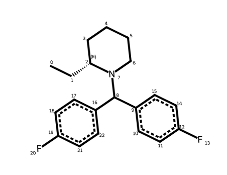 CC[C@@H]1CCCCN1C(c1ccc(F)cc1)c1ccc(F)cc1